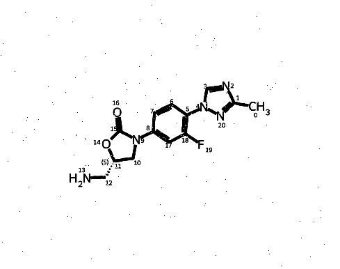 Cc1ncn(-c2ccc(N3C[C@H](CN)OC3=O)cc2F)n1